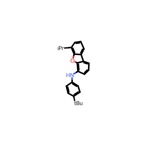 CC(C)c1cccc2c1oc1c(Nc3ccc(C(C)(C)C)cc3)cccc12